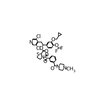 CN1CCN(C(=O)c2cccc(S(=O)(=O)N3CCSC3C(=O)OC(Cc3c(Cl)cncc3Cl)c3ccc(OC(F)F)c(OCC4CC4)c3)c2)CC1